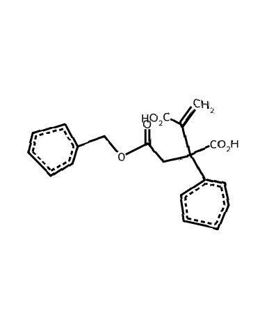 C=C(C(=O)O)C(CC(=O)OCc1ccccc1)(C(=O)O)c1ccccc1